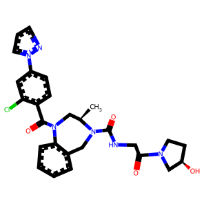 C[C@@H]1CN(C(=O)c2ccc(-n3cccn3)cc2Cl)c2ccccc2CN1C(=O)NCC(=O)N1CC[C@@H](O)C1